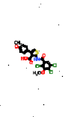 COc1ccc(-c2csc(NC(=O)c3cc(Cl)c(Cl)c(OC)c3Cl)c2C(=O)O)cc1